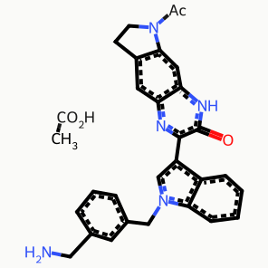 CC(=O)N1CCc2cc3nc(-c4cn(Cc5cccc(CN)c5)c5ccccc45)c(=O)[nH]c3cc21.CC(=O)O